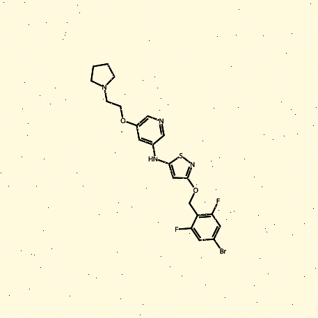 Fc1cc(Br)cc(F)c1COc1cc(Nc2cncc(OCCN3CCCC3)c2)sn1